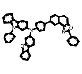 C1=CC2CC=c3oc(-c4ccccc4)nc3=C2C=C1c1ccc(N(c2ccc3c(c2)oc2ccccc23)c2ccc3c4ccccc4n(-c4ccccc4)c3c2)cc1